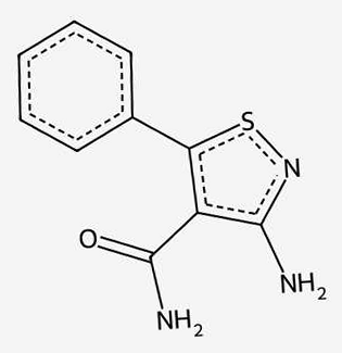 NC(=O)c1c(N)nsc1-c1ccccc1